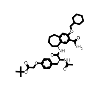 CC(=O)N[C@@H](Cc1ccc(OCC(=O)OC(C)(C)C)cc1)C(=O)N[C@@H]1CCCCc2cc(OCC3CCCCC3)c(C(N)=O)cc21